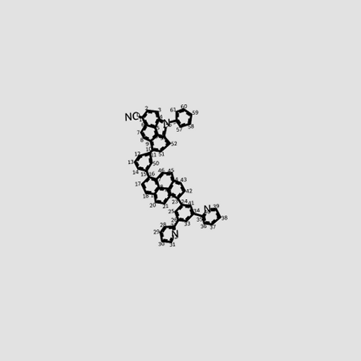 N#Cc1ccc2c3c1ccc1c(-c4cccc(-c5ccc6ccc7c(-c8cc(-c9ccccn9)cc(-c9ccccn9)c8)ccc8ccc5c6c87)c4)ccc(c13)n2-c1ccccc1